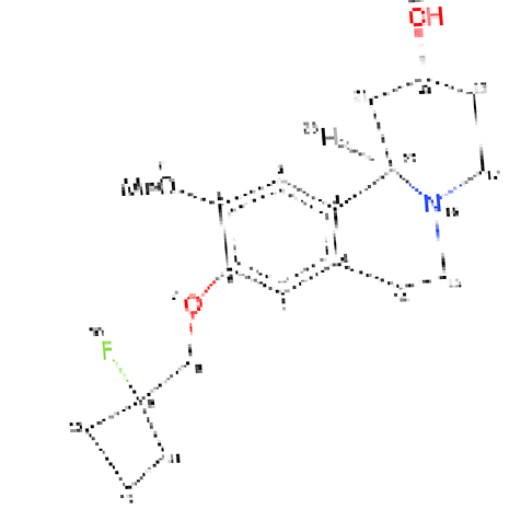 COc1cc2c(cc1OCC1(F)CCC1)CCN1CC[C@@H](O)C[C@H]21